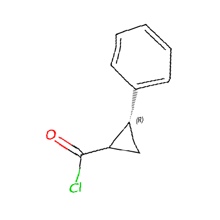 O=C(Cl)C1C[C@H]1c1ccccc1